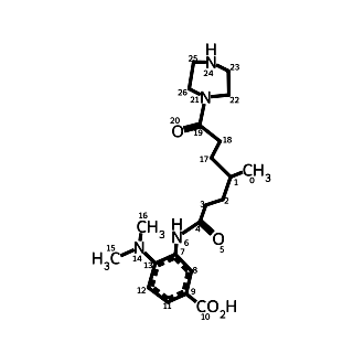 CC(CCC(=O)Nc1cc(C(=O)O)ccc1N(C)C)CCC(=O)N1CCNCC1